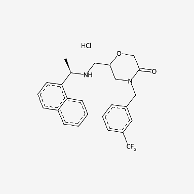 C[C@@H](NCC1CN(Cc2cccc(C(F)(F)F)c2)C(=O)CO1)c1cccc2ccccc12.Cl